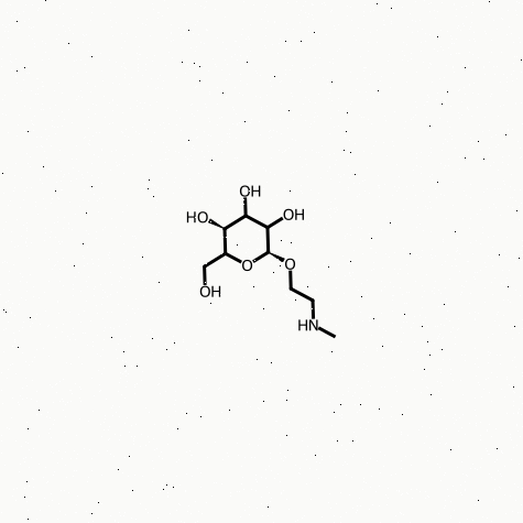 CNCCO[C@H]1OC(CO)[C@@H](O)C(O)C1O